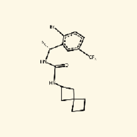 C[C@@H](NC(=O)NC1CC2(CCC2)C1)c1cc(C(F)(F)F)ccc1Br